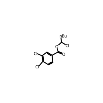 CCCCC(Cl)OC(=O)c1ccc(Cl)c(Cl)c1